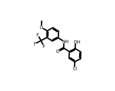 COc1ccc(NC(=O)c2cc(Cl)ccc2O)cc1C(F)(F)F